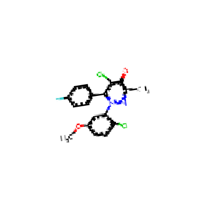 COc1ccc(Cl)c(-n2nc(C)c(=O)c(Cl)c2-c2ccc(F)cc2)c1